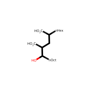 CCCCCCCCC(O)C(CC(CCCCCC)C(=O)O)C(=O)O